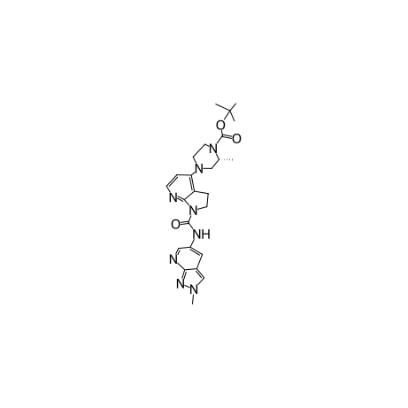 C[C@@H]1CN(c2ccnc3c2CCN3C(=O)Nc2cnc3nn(C)cc3c2)CCN1C(=O)OC(C)(C)C